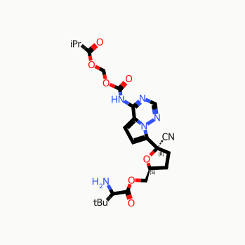 CC(C)C(=O)OCOC(=O)Nc1ncnn2c([C@@]3(C#N)CC[C@@H](COC(=O)C(N)C(C)(C)C)O3)ccc12